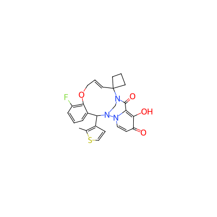 Cc1sccc1C1c2cccc(F)c2OC/C=C/C2(CCC2)N2CN1n1ccc(=O)c(O)c1C2=O